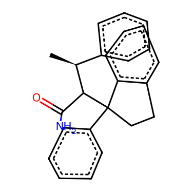 C[C@@H](c1ccccc1)C(C(N)=O)C1(c2ccccc2)CCc2ccccc21